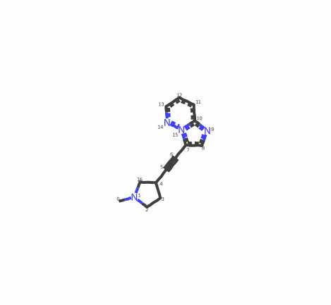 CN1CCC(C#Cc2cnc3cccnn23)C1